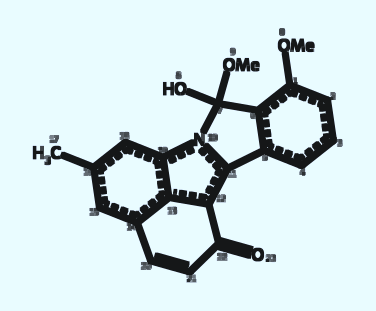 COc1cccc2c1C(O)(OC)n1c-2c2c3c(cc(C)cc31)C=CC2=O